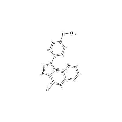 COc1ccc(-c2cnc3c(Cl)nc4ccccc4n23)cc1